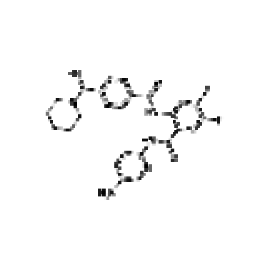 Bc1ccc(NC(=O)c2cc(F)c(F)cc2NC(=O)c2ccc(C(=N)N3CCCCC3)cc2)nc1